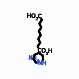 C1CCCNCC1.N.O=C(O)CCCCCCCCC(=O)O